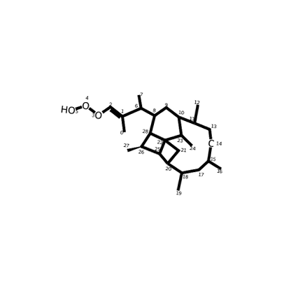 C/C(=C\OOO)C(C)C1CC2C(C)CCC(C)CC(C)C3CC4(C2C)C3[C@@H](C)C14